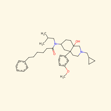 COc1cccc(C23CCN(CC4CC4)CC2(O)CCC(N(CC(C)C)C(=O)CCCCCc2ccccc2)C3)c1